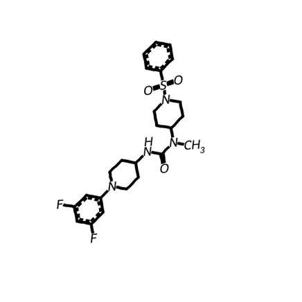 CN(C(=O)NC1CCN(c2cc(F)cc(F)c2)CC1)C1CCN(S(=O)(=O)c2ccccc2)CC1